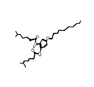 CCCCCCCCCCOc1ccc(OC(=O)CCCCC(C)C)c(OC(=O)CCCCC(C)C)c1